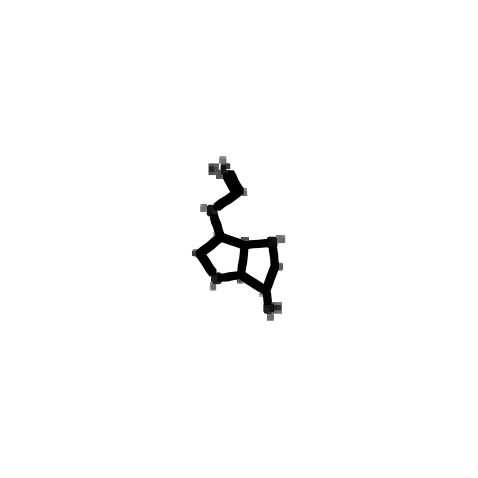 C=COC1COC2C(O)COC12